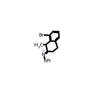 CCC/N=C1\CCc2cccc(Br)c2C1C